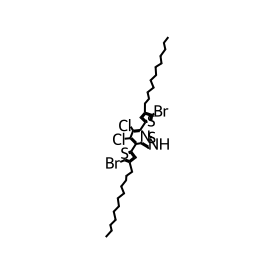 CCCCCCCCCCCCc1cc(C2=C(Cl)C(Cl)=C(c3cc(CCCCCCCCCCCC)c(Br)s3)N3SNC=C23)sc1Br